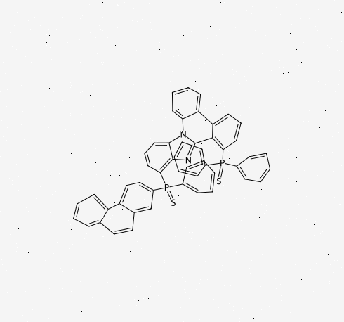 S=P(c1ccccc1)(c1ccc2c(ccc3ccccc32)c1)c1cccc2c1nc1c3c(P(=S)(c4ccccc4)c4ccccc4)cccc3c3ccccc3n21